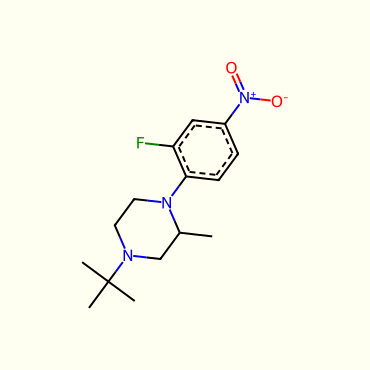 CC1CN(C(C)(C)C)CCN1c1ccc([N+](=O)[O-])cc1F